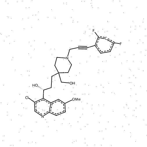 COc1ccc2ncc(Cl)c([C@H](O)CCC3(CO)CCN(CC#Cc4ccc(F)cc4F)CC3)c2c1